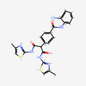 Cc1csc(NC(=O)C(C(=O)Nc2nc(C)cs2)c2ccc(C(=O)Nc3ccccc3N)cc2)n1